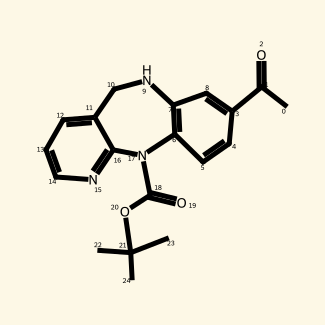 CC(=O)c1ccc2c(c1)NCc1cccnc1N2C(=O)OC(C)(C)C